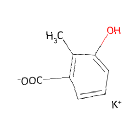 Cc1c(O)cccc1C(=O)[O-].[K+]